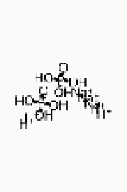 O=P(O)(O)O.O=P(O)(O)O.[H+].[H+].[H+].[H+].[Na+].[Na+].[Na+]